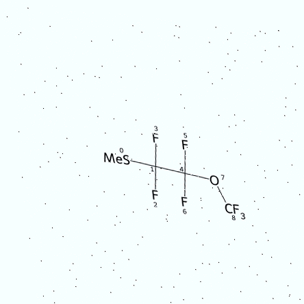 CSC(F)(F)C(F)(F)OC(F)(F)F